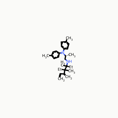 C=CC(=C)C(C)(CC)C(C)(CC)NC[C@@H](C)N(c1ccc(C)cc1)c1ccc(C)cc1